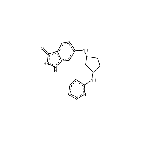 O=c1[nH][nH]c2cc(NC3CCC(Nc4ccccn4)C3)ccc12